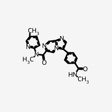 CNC(=O)c1ccc(-c2cnc3cnc(C(=O)N(C)c4ccc(C)cn4)cn23)cc1